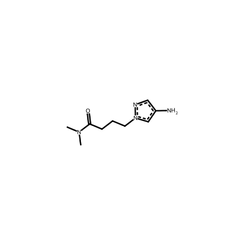 CN(C)C(=O)CCCn1cc(N)cn1